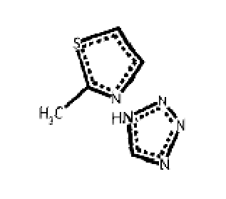 Cc1nccs1.c1nnn[nH]1